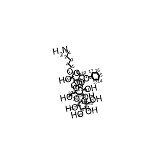 NCCCCCO[C@@H]1OC(COc2ccccc2)[C@@H](O[C@@H]2OC(CO)[C@H](O[C@H]3OC(CO)[C@H](O)[C@H](O)C3O)[C@H](O)C2O)[C@H](O)C1O